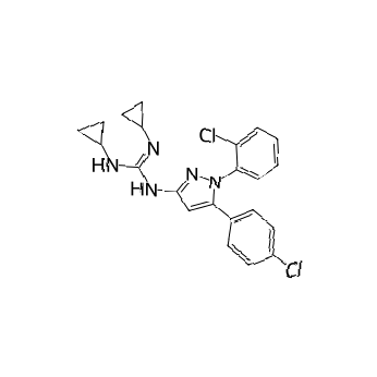 Clc1ccc(-c2cc(NC(=NC3CC3)NC3CC3)nn2-c2ccccc2Cl)cc1